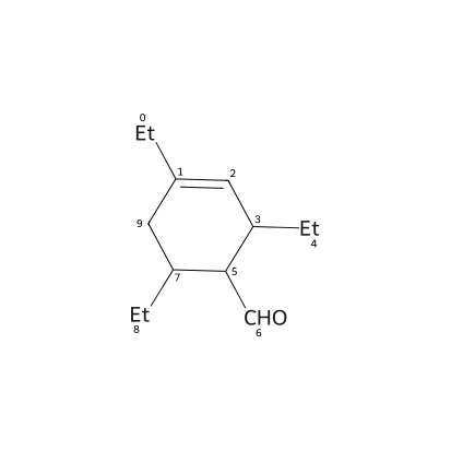 CCC1=CC(CC)C(C=O)C(CC)C1